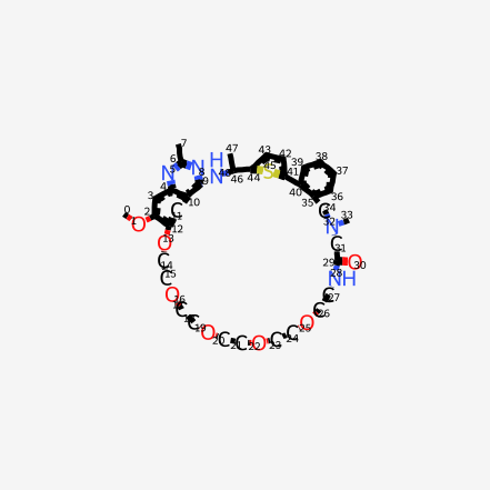 COc1cc2nc(C)nc3c2cc1OCCOCCOCCOCCOCCNC(=O)CN(C)Cc1ccccc1-c1ccc(s1)C(C)N3